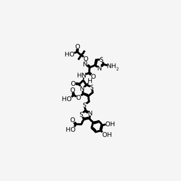 CC(C)(ON=C(C(=O)N[C@@H]1C(=O)N2C(OC(=O)O)=C(CSc3nc(-c4ccc(O)c(O)c4)c(CC(=O)O)s3)CS[C@@H]12)c1csc(N)n1)C(=O)O